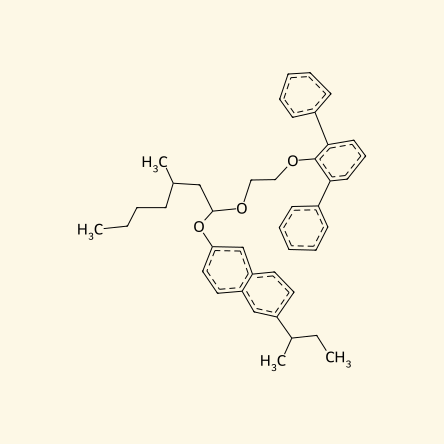 CCCCC(C)CC(OCCOc1c(-c2ccccc2)cccc1-c1ccccc1)Oc1ccc2cc(C(C)CC)ccc2c1